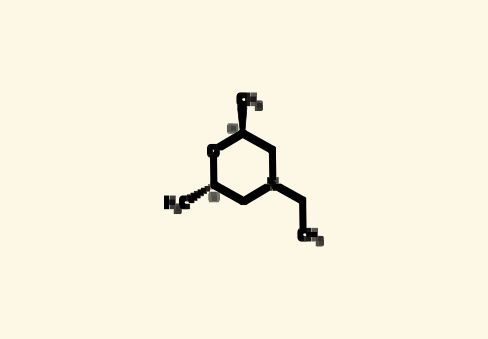 CCN1C[C@H](C)O[C@@H](C)C1